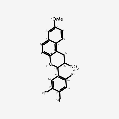 COc1ccc2c3c(ccc2c1)OC(c1cc(F)c(F)cc1F)C([N+](=O)[O-])C3